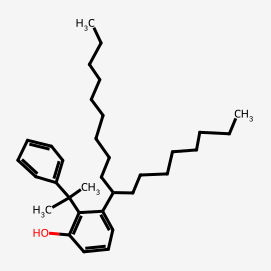 CCCCCCCCCC(CCCCCCCC)c1cccc(O)c1C(C)(C)c1ccccc1